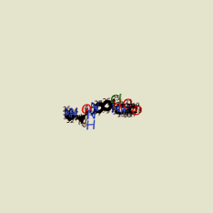 C[C@H]1[C@H](C(=O)Nc2cc3cc(N4CCN([C@]5(C)COC[C@@H]5O)CC4)c(Cl)cc3cn2)[C@H]1c1ccn(C)n1